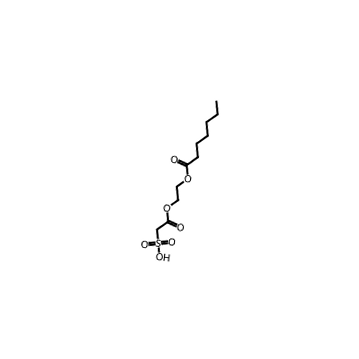 CCCCCCC(=O)OCCOC(=O)CS(=O)(=O)O